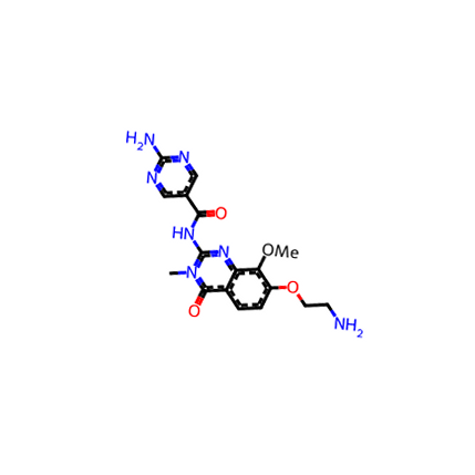 COc1c(OCCN)ccc2c(=O)n(C)c(NC(=O)c3cnc(N)nc3)nc12